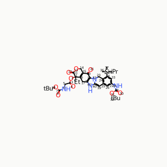 CCC1(OC(=O)CNC(=O)OC(C)(C)C)C(=O)OCC2=C1CC1=C(C2=O)N2Cc3c(cc(NC(=O)OC(C)(C)C)cc3[Si](C)(C)C(C)C)C=C2N1